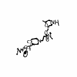 C[C@H]1CNC[C@@H](COP(=O)(CCN2CCO[C@H](CO[PH](=O)N(C)C)C2)N(C)C)O1